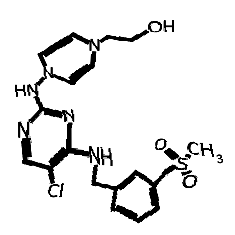 CS(=O)(=O)c1cccc(CNc2nc(NN3C=CN(CCO)C=C3)ncc2Cl)c1